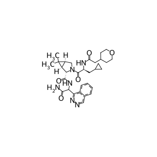 CC1(C)[C@@H]2[C@@H](C(=O)NC(C(N)=O)c3nncc4ccccc34)N(C(=O)[C@H](CC3CC3)NC(=O)CC3CCOCC3)C[C@@H]21